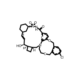 O=C1NS(=O)(=O)[C@H]2CCC[C@@H](/C=C/[C@H](O)[C@@H]3CC[C@H]3CN3CCCCc4cc(Cl)ccc4COc4ccc1cc43)C2